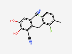 Cc1ccc(F)c(Cc2c(C#N)cc(O)c(O)c2C#N)c1F